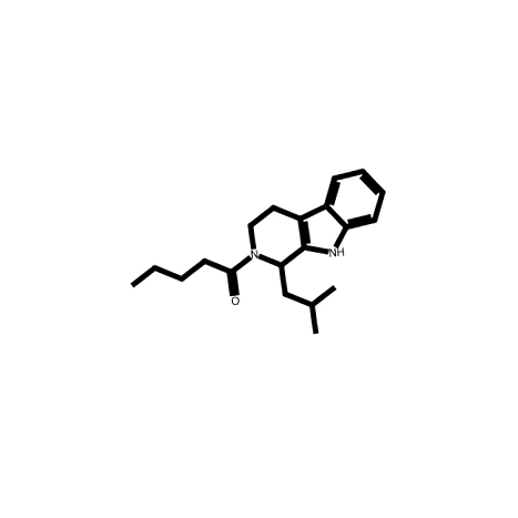 CCCCC(=O)N1CCc2c([nH]c3ccccc23)C1CC(C)C